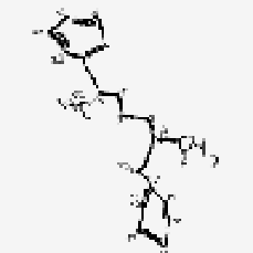 CN(CCC[C@H](C#N)c1ccccc1)Cc1ccccc1